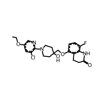 CCOc1cnc(N2CCC(O)(COc3ccc(F)c4c3CCC(=O)N4)CC2)c(Cl)c1